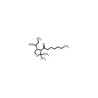 CCCCCCC(=O)N1[C@H](C(O)CC)COC1(C)C